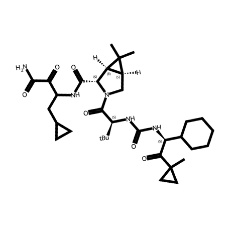 CC1(C(=O)[C@@H](NC(=O)N[C@H](C(=O)N2C[C@H]3[C@@H]([C@H]2C(=O)NC(CC2CC2)C(=O)C(N)=O)C3(C)C)C(C)(C)C)C2CCCCC2)CC1